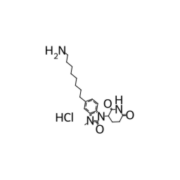 Cl.Cn1c(=O)n(C2CCC(=O)NC2=O)c2ccc(CCCCCCCCN)cc21